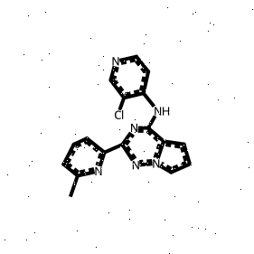 Cc1cccc(-c2nc(Nc3ccncc3Cl)c3cccn3n2)n1